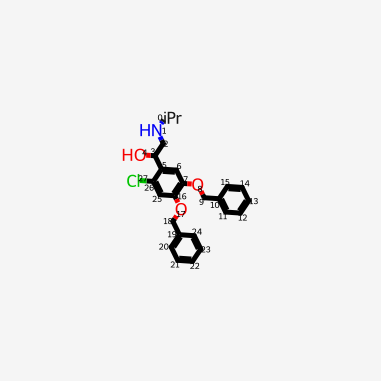 CC(C)NCC(O)c1cc(OCc2ccccc2)c(OCc2ccccc2)cc1Cl